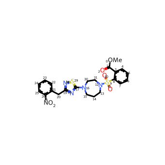 COC(=O)c1ccccc1S(=O)(=O)N1CCCN(c2nc(Cc3ccccc3[N+](=O)[O-])ns2)CC1